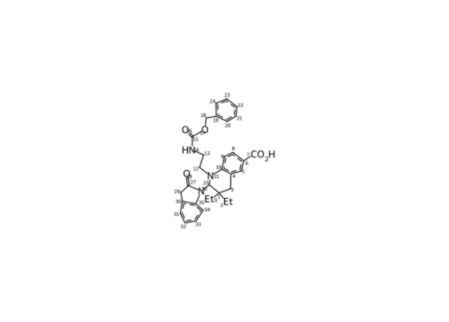 CCC1(CC)Cc2cc(C(=O)O)ccc2N(CCNC(=O)OCc2ccccc2)C1N1C(=O)Cc2ccccc21